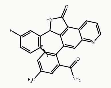 NC(=O)c1cc(C(F)(F)F)cc(F)c1-c1cc2ncccc2c2c1C(c1cc(F)ccc1Cl)NC2=O